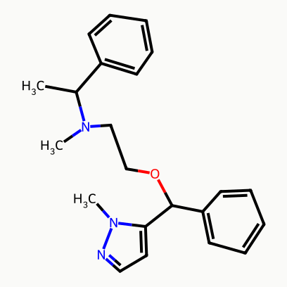 CC(c1ccccc1)N(C)CCOC(c1ccccc1)c1ccnn1C